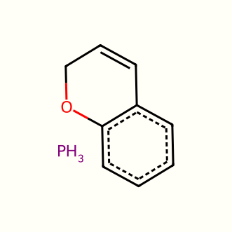 C1=Cc2ccccc2OC1.P